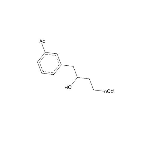 CCCCCCCCCCC(O)Cc1cccc(C(C)=O)c1